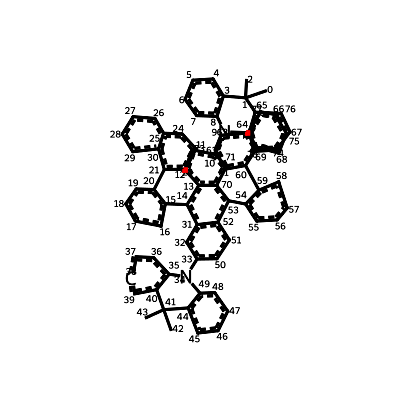 CC1(C)c2ccccc2N(c2ccc3c(-c4ccccc4-c4cccc5ccccc45)c4cc(N5c6ccccc6C(C)(C)c6ccccc65)ccc4c(-c4ccccc4-c4cccc5ccccc45)c3c2)c2ccccc21